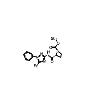 CCc1nc(NC(=O)[C@@H]2CCN2C(=O)OC(C)(C)C)nn1-c1ccccc1